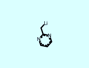 [Li][CH2]c1ncccn1